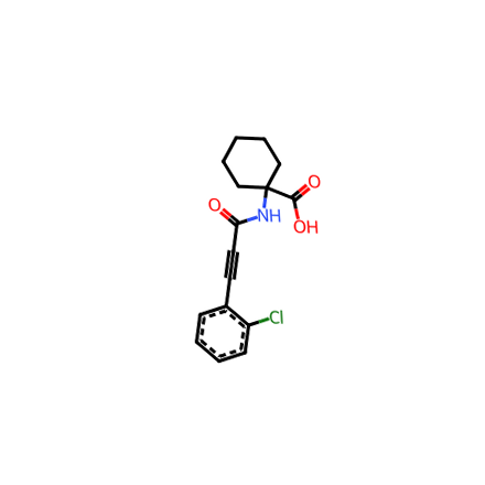 O=C(C#Cc1ccccc1Cl)NC1(C(=O)O)CCCCC1